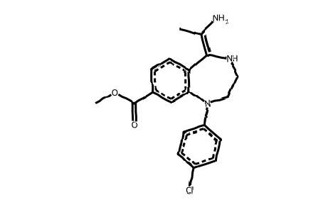 COC(=O)c1ccc2c(c1)N(c1ccc(Cl)cc1)CCN/C2=C(/C)N